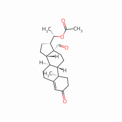 CC(=O)O[C@@H](C)[C@H]1CC[C@H]2[C@@H]3CCC4=CC(=O)CC[C@]4(C)[C@H]3CC[C@]12C=O